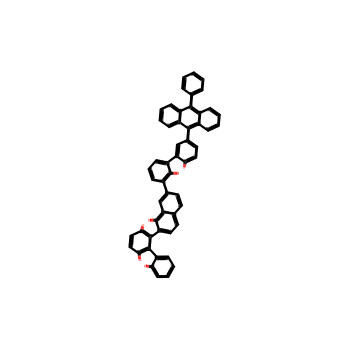 c1ccc(-c2c3ccccc3c(-c3ccc4oc5c(-c6ccc7ccc8c(oc9ccc%10oc%11ccccc%11c%10c98)c7c6)cccc5c4c3)c3ccccc23)cc1